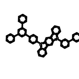 c1ccc(-c2cc(-c3ccccc3)cc(-c3ccc(-n4c5ccccc5c5cc6c(cc54)c4ccccc4n6-c4cccc(-c5ccccc5)c4)cc3)c2)cc1